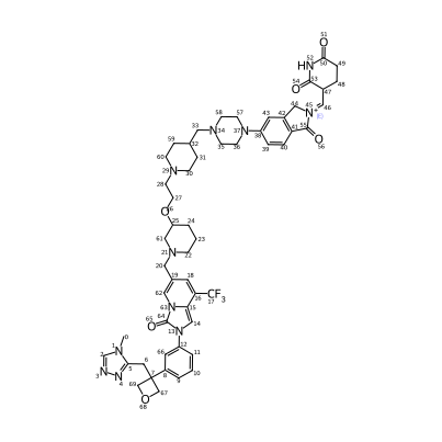 Cn1cnnc1CC1(c2cccc(-n3cc4c(C(F)(F)F)cc(CN5CCCC(OCCN6CCC(CN7CCN(c8ccc9c(c8)C/[N+](=C\C8CCC(=O)NC8=O)C9=O)CC7)CC6)C5)cn4c3=O)c2)COC1